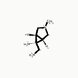 CN1C[C@@H]2[C@H](C1)[C@@]2(N)CN